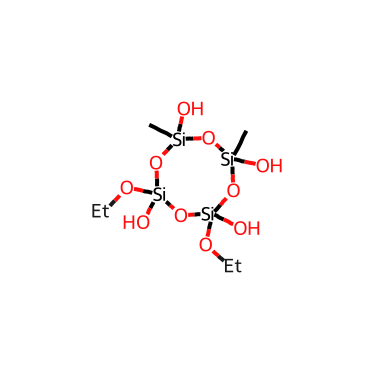 CCO[Si]1(O)O[Si](C)(O)O[Si](C)(O)O[Si](O)(OCC)O1